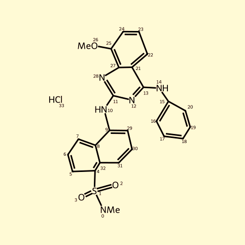 CNS(=O)(=O)c1cccc2c(Nc3nc(Nc4ccccc4)c4cccc(OC)c4n3)cccc12.Cl